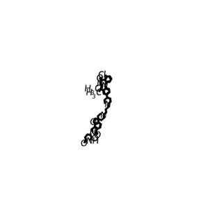 CC1(C)c2cc(C3CCN(CCCN4CCC5(CC4)COc4c5ccc5c4CN([C@H]4CCC(=O)NC4=O)C5=O)CC3)ccc2-n2c1nc(=O)c1c(Cl)cccc12